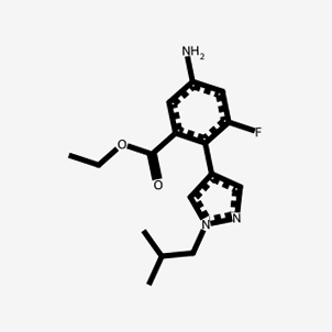 CCOC(=O)c1cc(N)cc(F)c1-c1cnn(CC(C)C)c1